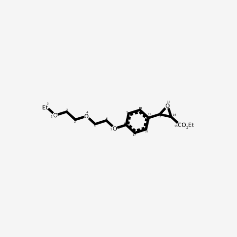 CCOCCOCCOc1ccc(C2OC2C(=O)OCC)cc1